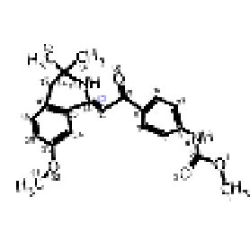 COC(=O)Nc1ccc(C(=O)/C=C2\NC(C)(C)Cc3ccc(OC)cc32)cc1